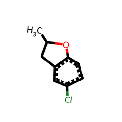 CC1Cc2cc(Cl)ccc2O1